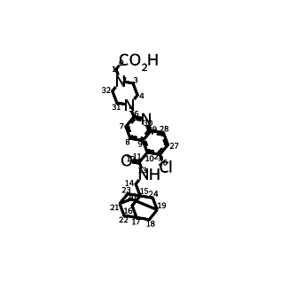 O=C(O)CN1CCN(c2ccc3c(C(=O)NCC45CC6CC(CC(C6)C4)C5)c(Cl)ccc3n2)CC1